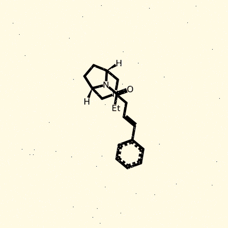 CCC(=O)N1[C@@H]2CC[C@H]1CN(C/C=C/c1ccccc1)C2